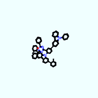 Cc1ccccc1-c1ccc2c3ccc(-c4ccccc4C)cc3n(-c3ccc(-c4ccc5c(c4)c4ccccc4n5-c4ccccc4)cc3-c3nc(-c4ccccc4)nc(-c4ccccc4)n3)c2c1